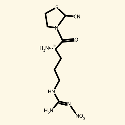 N#CC1SCCN1C(=O)[C@@H](N)CCCNC(N)=N[N+](=O)[O-]